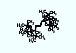 CC(C)(C)O[Si](CCCC[Si](OC(C)(C)C)(OC(C)(C)C)C(C)(C)C)(OC(C)(C)C)C(C)(C)C